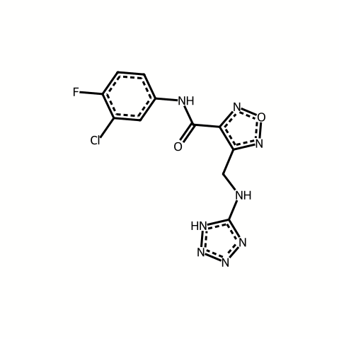 O=C(Nc1ccc(F)c(Cl)c1)c1nonc1CNc1nnn[nH]1